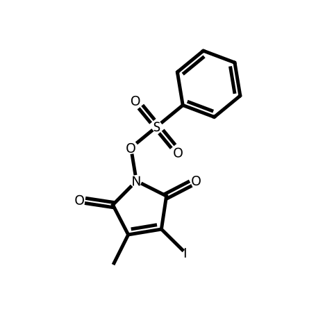 CC1=C(I)C(=O)N(OS(=O)(=O)c2ccccc2)C1=O